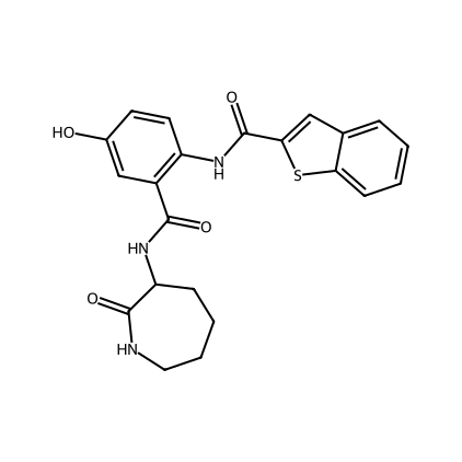 O=C(Nc1ccc(O)cc1C(=O)NC1CCCCNC1=O)c1cc2ccccc2s1